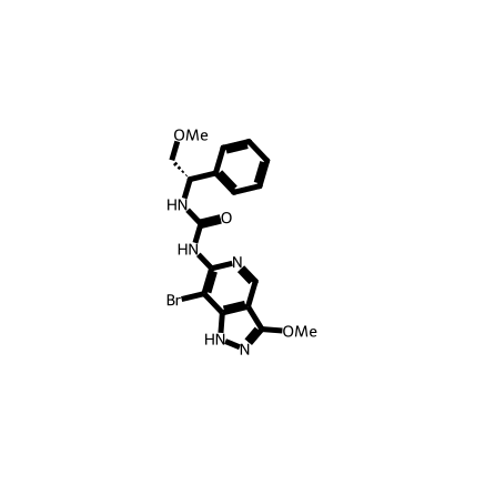 COC[C@@H](NC(=O)Nc1ncc2c(OC)n[nH]c2c1Br)c1ccccc1